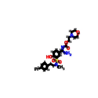 CC(C)c1ccc(CCN(C)S(=O)(=O)c2cc(/C(N)=N/C(=O)OCCN3CCOCC3)ccc2O)cc1